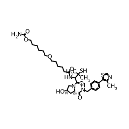 Cc1ncsc1-c1ccc(CNC(=O)[C@@H]2C[C@@H](O)CN2C(=O)C(NC(=O)CCCCCOCCCCCCOC(N)=O)C(C)(C)S)cc1